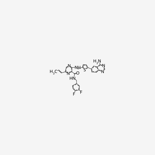 CC=Cc1cnc(NCc2ccc(-c3ccc4ncnc(N)c4c3)s2)c(C(=O)NCc2ccc(F)c(F)c2)n1